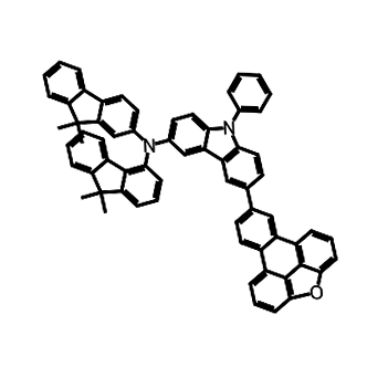 CC1(C)c2ccccc2-c2ccc(N(c3ccc4c(c3)c3cc(-c5ccc6c(c5)c5cccc7oc8cccc6c8c75)ccc3n4-c3ccccc3)c3cccc4c3-c3ccccc3C4(C)C)cc21